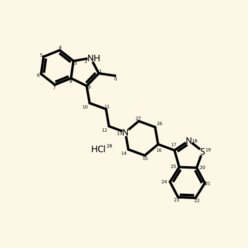 Cc1[nH]c2ccccc2c1CCCN1CCC(c2nsc3ccccc23)CC1.Cl